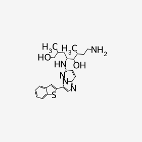 CC(CO)CC(Nc1ccc2ncc(-c3cc4ccccc4s3)n2n1)C(O)C(C)CCN